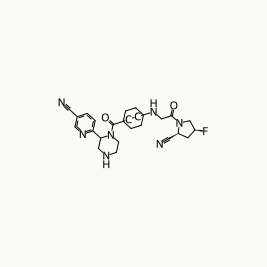 N#Cc1ccc(C2CNCCN2C(=O)C23CCC(NCC(=O)N4C[C@@H](F)C[C@H]4C#N)(CC2)CC3)nc1